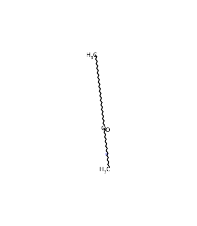 CCCCCC/C=C/CCCCCCCCCC(=O)OCCCCCCCCCCCCCCCCCCCCCCCCCCCCCCCC